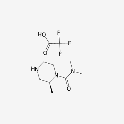 C[C@H]1CNCCN1C(=O)N(C)C.O=C(O)C(F)(F)F